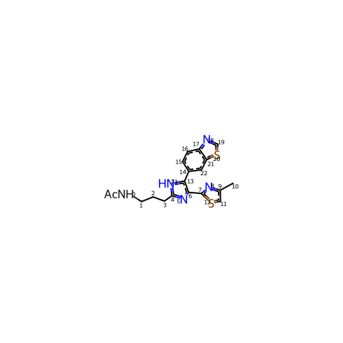 CC(=O)NCCCc1nc(-c2nc(C)cs2)c(-c2ccc3ncsc3c2)[nH]1